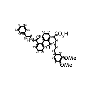 COc1ccc(CCN(CCC(=O)O)C(=O)c2ccccc2-c2ccccc2C(=O)NCCc2ccccc2)cc1OC